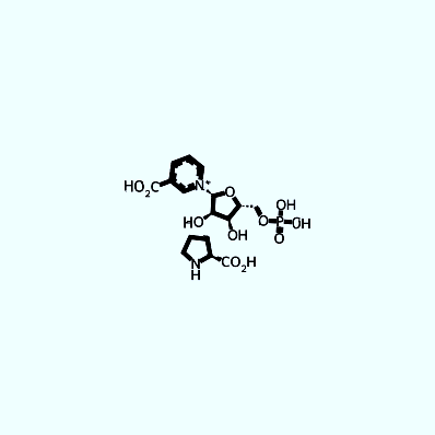 O=C(O)[C@@H]1CCCN1.O=C(O)c1ccc[n+]([C@@H]2O[C@H](COP(=O)(O)O)[C@@H](O)[C@H]2O)c1